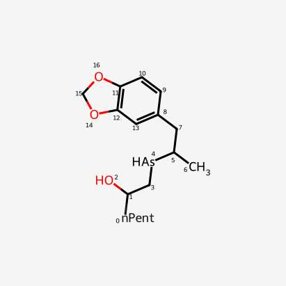 CCCCCC(O)C[AsH]C(C)Cc1ccc2c(c1)OCO2